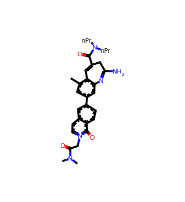 CCCN(CCC)C(=O)C1=Cc2c(C)cc(-c3ccc4c(=O)n(CC(=O)N(C)C)ccc4c3)cc2N=C(N)C1